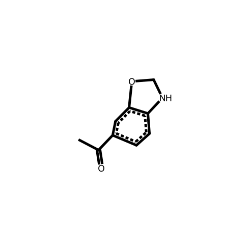 CC(=O)c1ccc2c(c1)OCN2